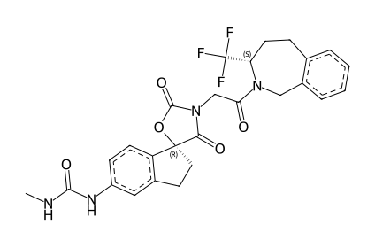 CNC(=O)Nc1ccc2c(c1)CC[C@@]21OC(=O)N(CC(=O)N2Cc3ccccc3CC[C@H]2C(F)(F)F)C1=O